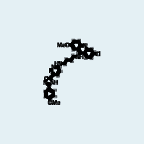 COc1ccc(C2=NOC(c3ccc(NCCCCNc4c5ccc(Cl)cc5nc5ccc(OC)cc45)nn3)N2)cc1